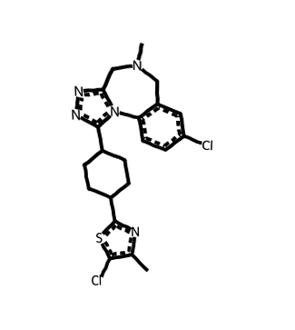 Cc1nc(C2CCC(c3nnc4n3-c3ccc(Cl)cc3CN(C)C4)CC2)sc1Cl